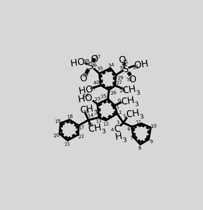 Cc1c(C(C)(C)c2ccccc2)cc(C(C)(C)c2ccccc2)c(O)c1-c1c(C)c(S(=O)(=O)O)cc(S(=O)(=O)O)c1O